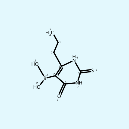 CCCc1[nH]c(=S)[nH]c(=O)c1B(O)O